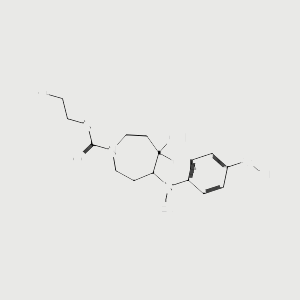 CCOc1ccc(N(CC)C2CCN(C(=O)NCCO)CCC2(C)C)cc1